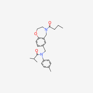 CCCC(=O)N1CCOc2ccc(CN(C(=O)C(C)C)c3ccc(C)cc3)cc2C1